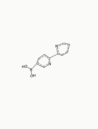 OB(O)c1ccc(-c2ccccn2)nc1